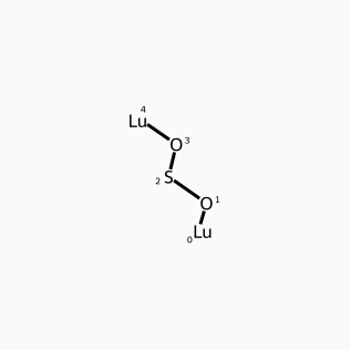 [Lu][O]S[O][Lu]